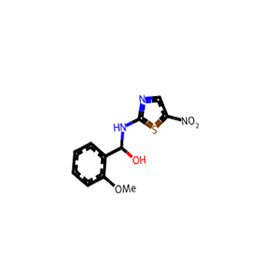 COc1ccccc1C(O)Nc1ncc([N+](=O)[O-])s1